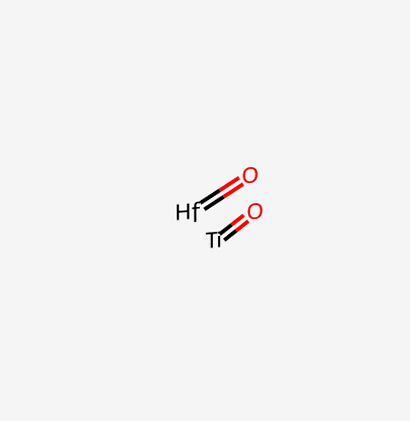 [O]=[Hf].[O]=[Ti]